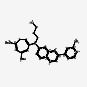 COC1=CC(N(CCCO)c2ccc3ncc(-c4ccnc(N)c4)nc3c2)=CCC(OC)=C1